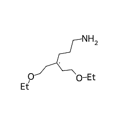 CCOCC[C](CCCN)CCOCC